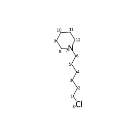 ClCCCCCCN1CCCCC1